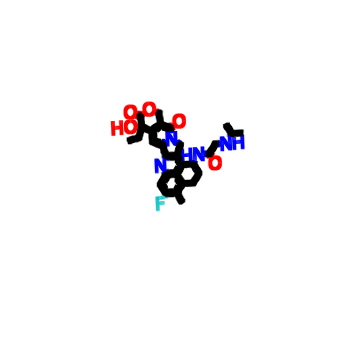 CCC1(O)C(=O)OCc2c1cc1n(c2=O)Cc2c-1nc1cc(F)c(C)c3c1c2C(NC(=O)CNC(C)C)CC3